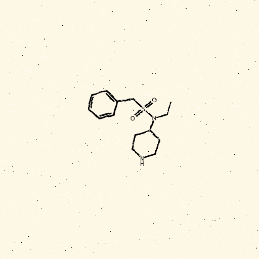 CCN(C1CCNCC1)S(=O)(=O)Cc1ccccc1